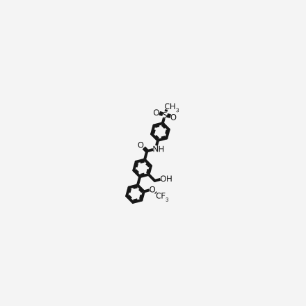 CS(=O)(=O)c1ccc(NC(=O)c2ccc(-c3ccccc3OC(F)(F)F)c(CO)c2)cc1